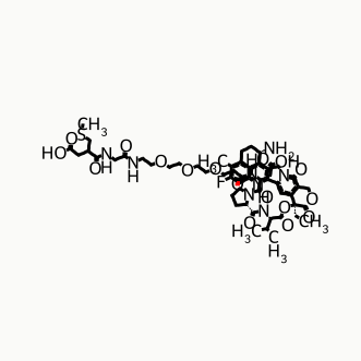 CC[C@@]1(OC(=O)[C@@H](NC(=O)[C@@H]2CCCN2C(=O)[C@H](CC(=O)O)NC(=O)CCOCCOCCOCCNC(=O)CNC(=O)C(CSC)CC(=O)O)C(C)C)C(=O)OCc2c1cc1n(c2=O)Cc2c-1nc1cc(F)c(C)c3c1c2[C@@H](N)CC3